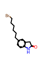 O=C1Cc2cc(CCCCCCBr)ccc2N1